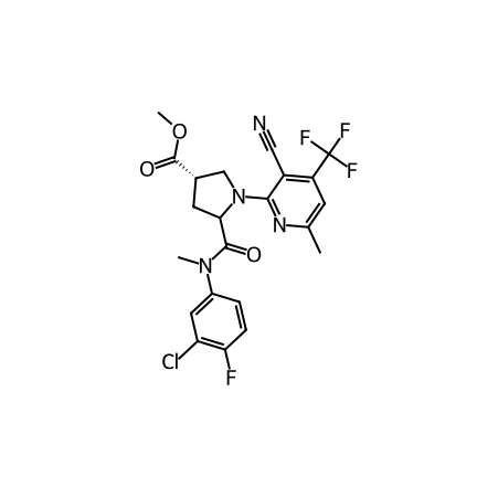 COC(=O)[C@H]1CC(C(=O)N(C)c2ccc(F)c(Cl)c2)N(c2nc(C)cc(C(F)(F)F)c2C#N)C1